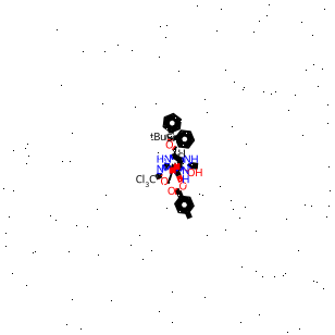 C=C1N[C@H]2[C@H](CO[Si](c3ccccc3)(c3ccccc3)C(C)(C)C)N/C(=N/C(=O)C(Cl)(Cl)Cl)N3[C@@H](C)C(OC(=O)c4ccc(C)cc4)[C@H](O)C23N1